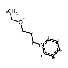 CCOCCC[n+]1ccccc1